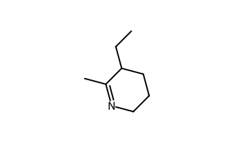 CCC1CCCN=C1C